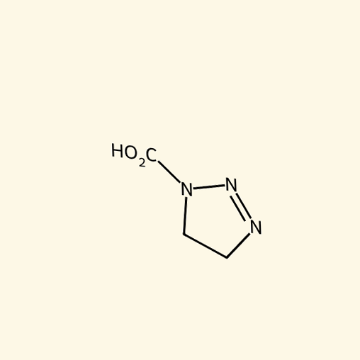 O=C(O)N1CCN=N1